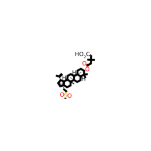 C=C(C)[C@@H]1CC[C@]2(CCS(C)(=O)=O)CC[C@]3(C)[C@H](CC[C@@H]4[C@@]5(C)CC[C@H](OC(=O)CC(C)(C)CC(=O)O)C(C)(C)[C@@H]5CC[C@]43C)[C@@H]12